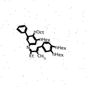 CCCCCCCCc1c(CCCCCC)cc(N=C(CC)C(C)=Cc2ccc(CCCCCC)c(CCCCCC)c2)cc1-c1ccccc1